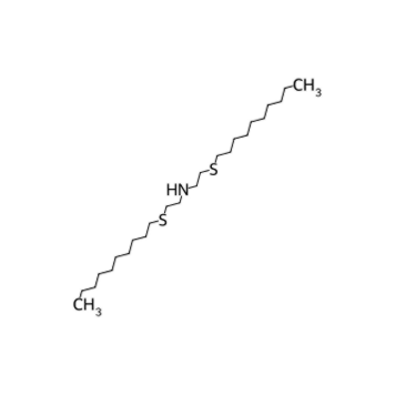 CCCCCCCCCCSCCNCCSCCCCCCCCCC